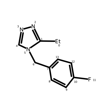 CCc1nncn1Cc1ccc(F)cc1